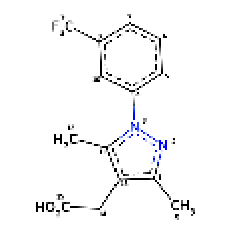 Cc1nn(-c2cccc(C(F)(F)F)c2)c(C)c1CC(=O)O